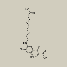 O=C(O)CCOCCOCCNc1cc2c(=O)c(C(=O)O)c[nH]c2cc1Cl